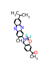 CC(=O)c1ccc2c(c1)O[B-](F)(F)[N+](c1cc3nc4cc(C(C)C)ccc4nc3cc1C)=C2